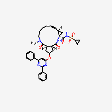 CN1CCCC/C=C\[C@@H]2C[C@@]2(C(=O)NS(=O)(=O)C2CC2)NC(=O)[C@@H]2C[C@@H](Oc3cc(-c4ccccc4)nc(-c4ccccc4)n3)C[C@H]2C1=O